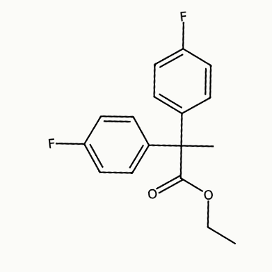 CCOC(=O)C(C)(c1ccc(F)cc1)c1ccc(F)cc1